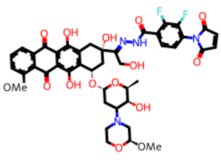 COc1cccc2c1C(=O)c1c(O)c3c(c(O)c1C2=O)C[C@@](O)(/C(CO)=N/NC(=O)c1ccc(N2C(=O)C=CC2=O)c(F)c1F)C[C@@H]3O[C@H]1CC(N2CCO[C@H](OC)C2)[C@H](O)[C@H](C)O1